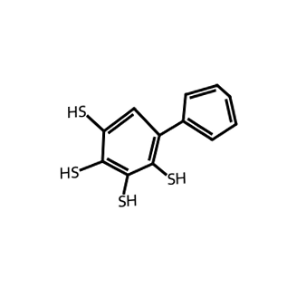 Sc1cc(-c2ccccc2)c(S)c(S)c1S